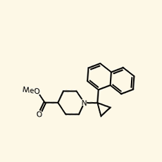 COC(=O)C1CCN(C2(c3cccc4ccccc34)CC2)CC1